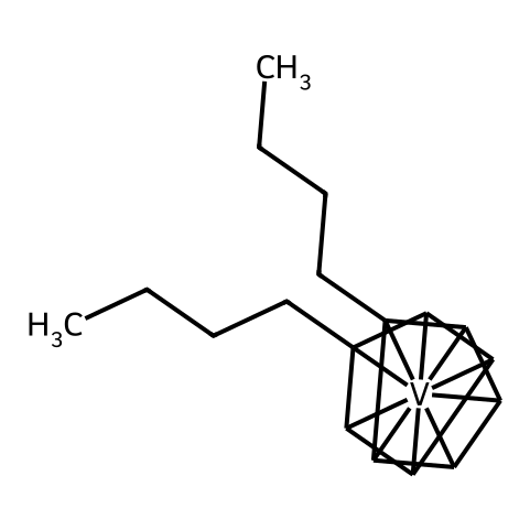 CCCC[C]12[CH]3[CH]4[CH]5[CH]1[V]45321678[CH]2[CH]1[CH]6[C]7(CCCC)[CH]28